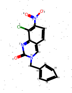 O=c1nc2c(Cl)c([N+](=O)[O-])ccc2cn1Cc1ccccc1